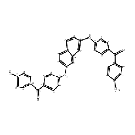 Cc1ccc(C(=O)c2ccc(Oc3ccc4ccc(Oc5ccc(C(=O)c6ccc(Cl)cc6)cc5)cc4c3)cc2)cc1